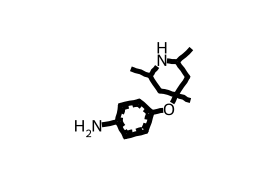 CC1CC(C)(Oc2ccc(N)cc2)CC(C)N1